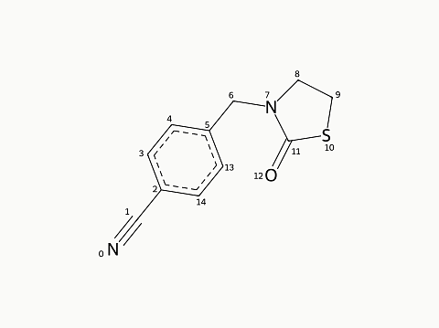 N#Cc1ccc(CN2CCSC2=O)cc1